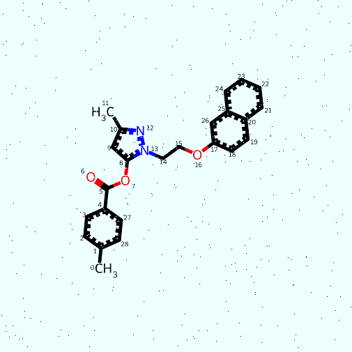 Cc1ccc(C(=O)Oc2cc(C)nn2CCOc2ccc3ccccc3c2)cc1